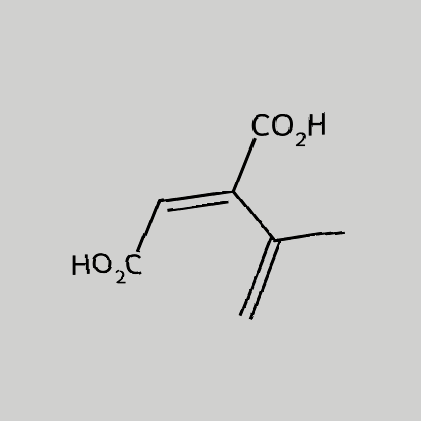 C=C(C)/C(=C\C(=O)O)C(=O)O